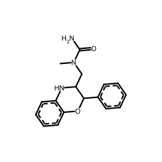 CN(CC1Nc2ccccc2OC1c1ccccc1)C(N)=O